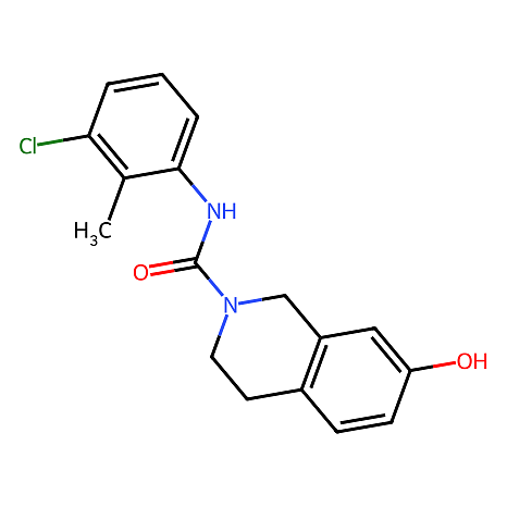 Cc1c(Cl)cccc1NC(=O)N1CCc2ccc(O)cc2C1